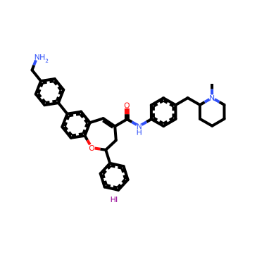 CN1CCCCC1Cc1ccc(NC(=O)C2=Cc3cc(-c4ccc(CN)cc4)ccc3OC(c3ccccc3)C2)cc1.I